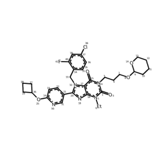 CCn1c(=O)n(CCCOC2CCCCO2)c(=O)c2c1nc(-c1ccc(OC3CCC3)nc1)n2Cc1ccc(Cl)cc1F